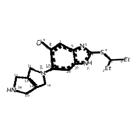 CCC(CC)Sc1nc2cc(Cl)c(N3CC4=C(CNC4)C3)cc2[nH]1